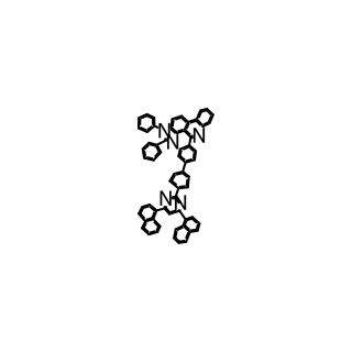 c1ccc(-c2nc3c4c(-c5ccc(-c6ccc(-c7nc(-c8cccc9ccccc89)cc(-c8cccc9ccccc89)n7)cc6)cc5)nc5ccccc5c4ccc3n2-c2ccccc2)cc1